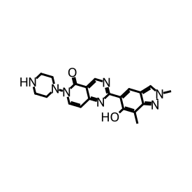 Cc1c(O)c(-c2ncc3c(=O)n(N4CCNCC4)ccc3n2)cc2cn(C)nc12